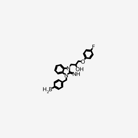 Bc1ccc(Cn2c(=N)n(CC(O)COc3ccc(F)cc3)c3ccccc32)cc1